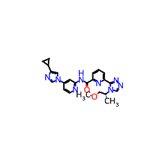 COC[C@@H](C)n1cnnc1-c1cccc(C(=O)Nc2cc(-n3cnc(C4CC4)c3)ccn2)n1